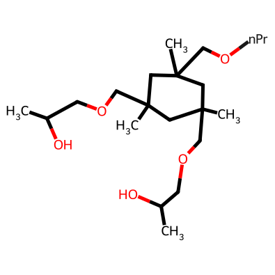 CCCOCC1(C)CC(C)(COCC(C)O)CC(C)(COCC(C)O)C1